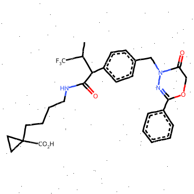 CC(C(C(=O)NCCCCC1(C(=O)O)CC1)c1ccc(CN2N=C(c3ccccc3)OCC2=O)cc1)C(F)(F)F